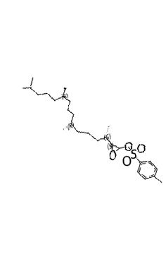 Cc1ccc(S(=O)(=O)OC2O[C@H]2[C@@H](C)CCC[C@H](C)CCC[C@H](C)CCCC(C)C)cc1